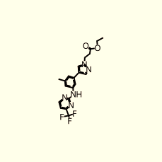 CCOC(=O)CCn1cc(-c2cc(C)cc(Nc3nccc(C(F)(F)F)n3)c2)cn1